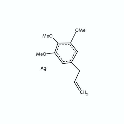 C=CCc1cc(OC)c(OC)c(OC)c1.[Ag]